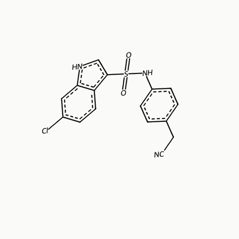 N#CCc1ccc(NS(=O)(=O)c2c[nH]c3cc(Cl)ccc23)cc1